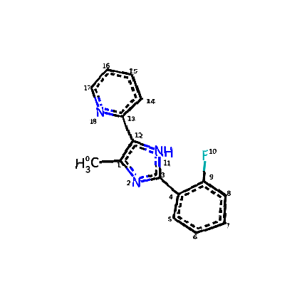 Cc1nc(-c2ccccc2F)[nH]c1-c1ccccn1